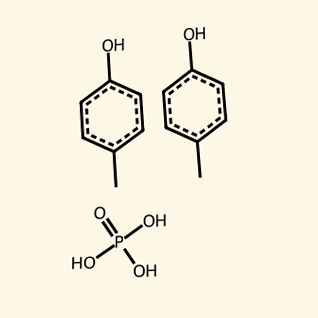 Cc1ccc(O)cc1.Cc1ccc(O)cc1.O=P(O)(O)O